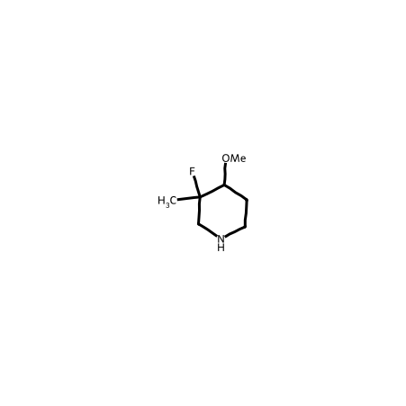 COC1CCNCC1(C)F